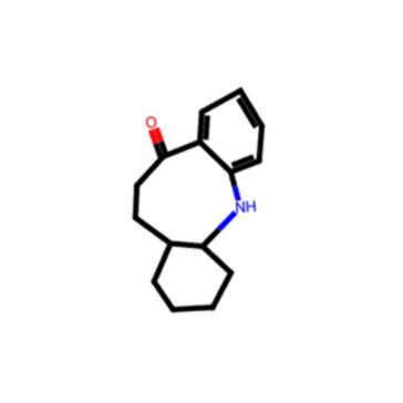 O=C1CCC2CCCCC2Nc2ccccc21